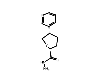 NNC(=O)[C@H]1CC[C@H](c2cccnc2)CC1